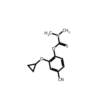 CN(C)C(=S)Oc1ccc(C#N)cc1OC1CC1